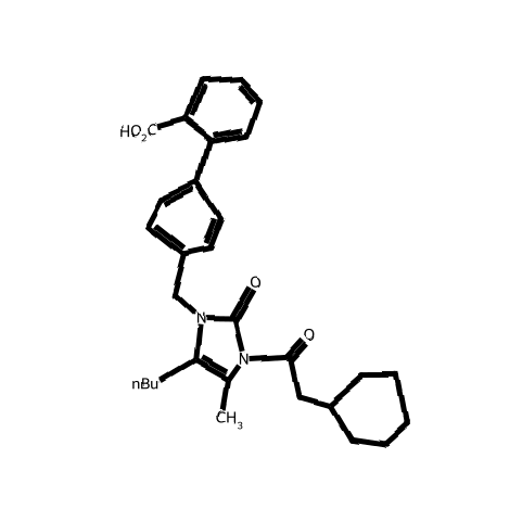 CCCCc1c(C)n(C(=O)CC2CCCCC2)c(=O)n1Cc1ccc(-c2ccccc2C(=O)O)cc1